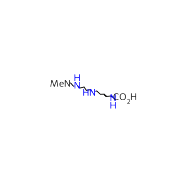 CNCCNCCCCNCCC=CCNC(=O)O